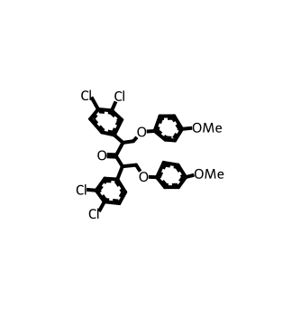 COc1ccc(OCC(C(=O)C(COc2ccc(OC)cc2)c2ccc(Cl)c(Cl)c2)c2ccc(Cl)c(Cl)c2)cc1